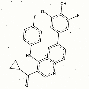 [CH2]c1ccc(Nc2c(C(=O)C3CC3)cnc3ccc(-c4cc(F)c(O)c(Cl)c4)cc23)cc1